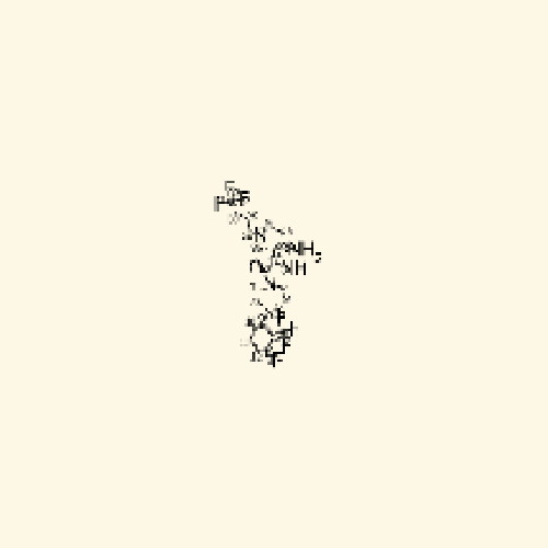 N=C(C(=O)N1CCCC(c2cccc(F)c2C(F)(F)F)CC1)C1=C(N)CCN(CCCC(F)(F)F)C1